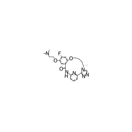 C[C@H]1CCCOc2cc(F)c(OCCN(C)C)cc2C(=O)Nc2cccc(n2)-c2nncn21